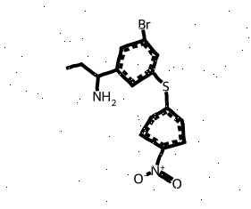 CCC(N)c1cc(Br)cc(Sc2ccc([N+](=O)[O-])cc2)c1